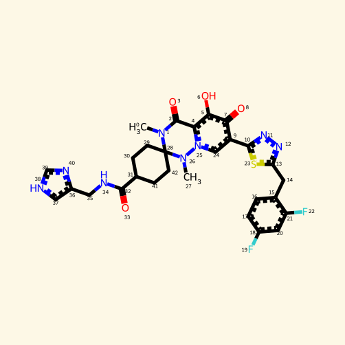 CN1C(=O)c2c(O)c(=O)c(-c3nnc(Cc4ccc(F)cc4F)s3)cn2N(C)C12CCC(C(=O)NCc1c[nH]cn1)CC2